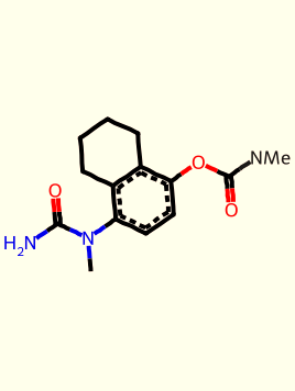 CNC(=O)Oc1ccc(N(C)C(N)=O)c2c1CCCC2